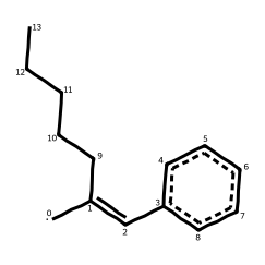 [CH2]C(=Cc1ccccc1)CCCCC